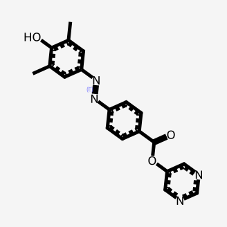 Cc1cc(/N=N/c2ccc(C(=O)Oc3cncnc3)cc2)cc(C)c1O